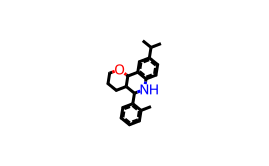 Cc1ccccc1C1Nc2ccc(C(C)C)cc2C2OCCCC12